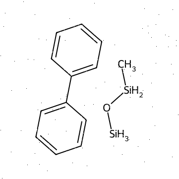 C[SiH2]O[SiH3].c1ccc(-c2ccccc2)cc1